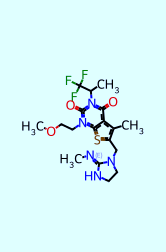 C/N=C1\NCCN1Cc1sc2c(c1C)c(=O)n(C(C)C(F)(F)F)c(=O)n2CCOC